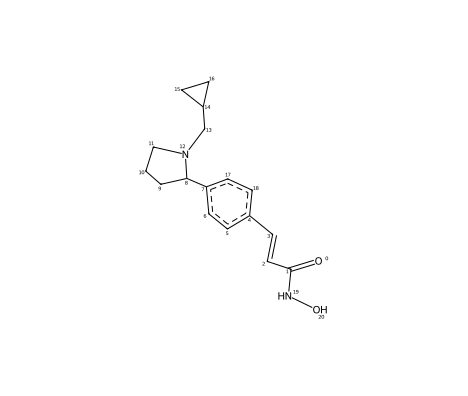 O=C(/C=C/c1ccc(C2CCCN2CC2CC2)cc1)NO